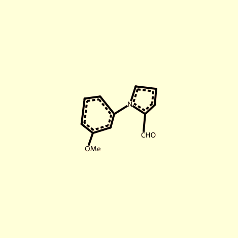 COc1cccc(-n2cccc2C=O)c1